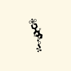 C[Si](C)(C)CCOCn1ccc2c(F)c(C3CCN(S(C)(=O)=O)CC3)cnc21